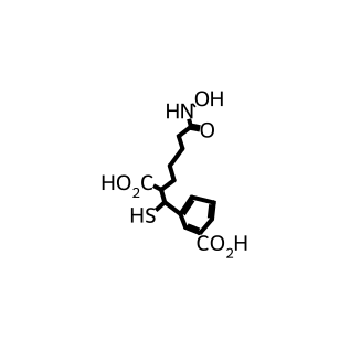 O=C(CCCCC(C(=O)O)C(S)c1cccc(C(=O)O)c1)NO